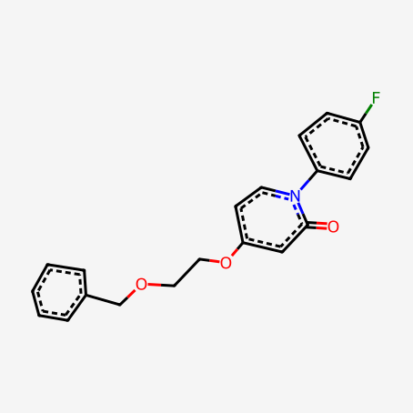 O=c1cc(OCCOCc2ccccc2)ccn1-c1ccc(F)cc1